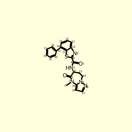 CN1C(=O)[C@@H](NC(=O)c2nc3cccc(-c4ccccc4)c3s2)CCn2nccc21